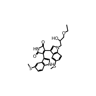 CCOCC(O)Cn1cc(C2=C(c3c[nH]c4ccc(SC)cc34)C(=O)NC2=O)c2cc(SC)ccc21